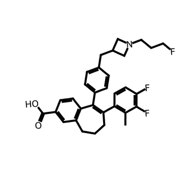 Cc1c(C2=C(c3ccc(CC4CN(CCCF)C4)cc3)c3ccc(C(=O)O)cc3CCC2)ccc(F)c1F